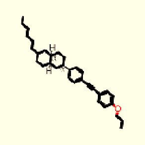 C=CCOc1ccc(C#Cc2ccc([C@@H]3CC[C@@H]4CC(CCCCCC)CC[C@@H]4C3)cc2)cc1